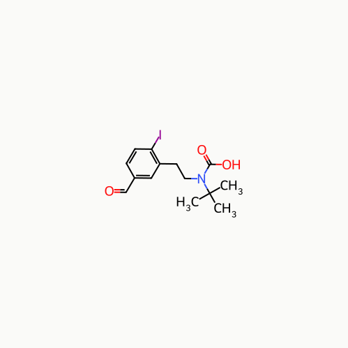 CC(C)(C)N(CCc1cc(C=O)ccc1I)C(=O)O